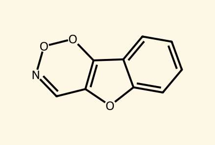 C1=NOOc2c1oc1ccccc21